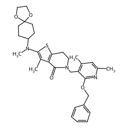 Cc1cc(C)c(CN2CCc3sc(N(C)C4CCC5(CC4)OCCO5)c(C)c3C2=O)c(OCc2ccccc2)n1